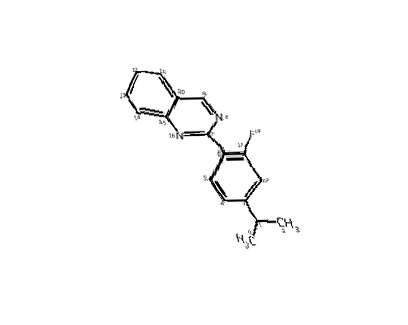 CC(C)c1ccc(-c2ncc3ccccc3n2)c(F)c1